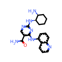 NC(=O)c1cnc(N[C@@H]2CCCC[C@@H]2N)nc1Nc1cccc2ncccc12